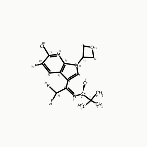 CC(C)(C)[S@+]([O-])/N=C(\c1cn(C2COC2)c2nc(Cl)c(F)cc12)C(F)F